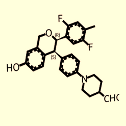 Cc1cc(F)c([C@@H]2OCc3cc(O)ccc3[C@@H]2c2ccc(N3CCC(C=O)CC3)cc2)cc1F